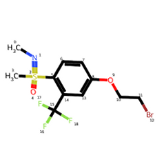 CN=S(C)(=O)c1ccc(OCCBr)cc1C(F)(F)F